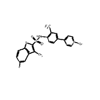 Cc1c(S(=O)(=O)Nc2ccc(-c3cc[n+]([O-])cc3)cc2C(F)(F)F)sc2ccc(F)cc12